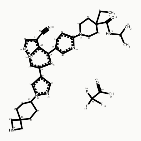 CCC1(C(=O)NC(C)C)CCN(c2ccc(-c3nc(-c4cnn(C5CCC6(CC5)CNC6)c4)cn4ncc(C#N)c34)cn2)CC1.O=C(O)C(F)(F)F